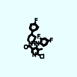 Cc1c(Cl)ncc(C(=O)N2CCC(c3ccc(F)cc3)CC2)c1Nc1ccc(F)cc1F